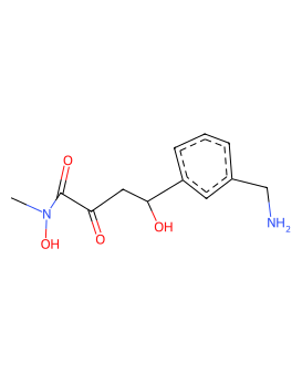 CN(O)C(=O)C(=O)CC(O)c1cccc(CN)c1